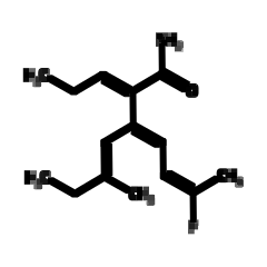 CC/C=C(/C(N)=O)C(=C/C=C(\C)F)/C=C(\C)CC